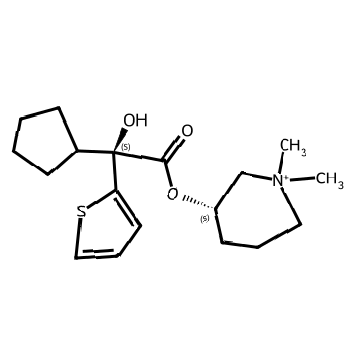 C[N+]1(C)CCC[C@H](OC(=O)[C@](O)(c2cccs2)C2CCCC2)C1